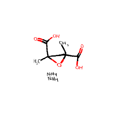 CC1(C(=O)O)OC1(C)C(=O)O.[NaH].[NaH]